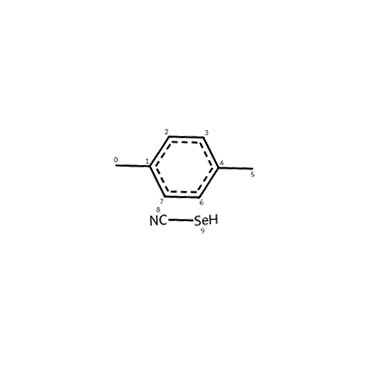 Cc1ccc(C)cc1.N#C[SeH]